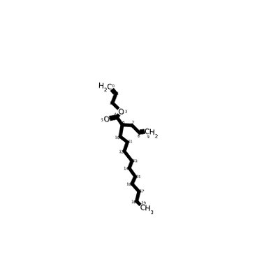 C=CCOC(=O)C(CC=C)CCCCCCCCCC